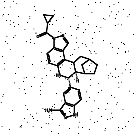 Nc1n[nH]c2ccc([C@@H]3Nc4ccc5c(cnn5C(=O)C5CC5)c4C4CC5CCC(C5)[C@H]43)cc12